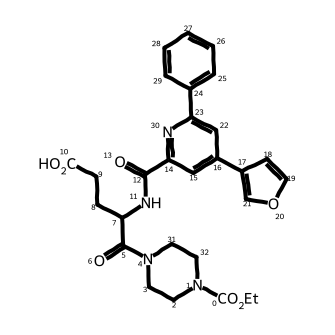 CCOC(=O)N1CCN(C(=O)C(CCC(=O)O)NC(=O)c2cc(-c3ccoc3)cc(-c3ccccc3)n2)CC1